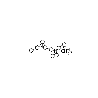 CC1(C)c2ccccc2-c2ccc(N(c3ccc(-c4ccc5c(c4)c4ccccc4n5-c4ccc(-c5ccccc5)cc4)cc3)c3cccc4ccccc34)cc21